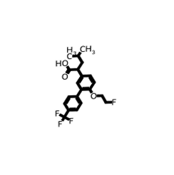 CC(C)CC(C(=O)O)c1ccc(OCCF)c(-c2ccc(C(F)(F)F)cc2)c1